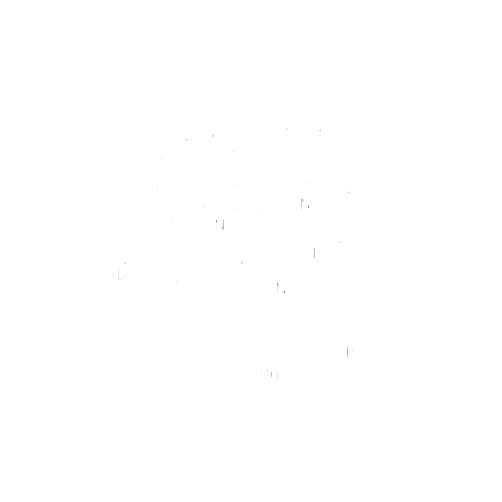 CC(C)(C)c1cccc(N2c3cc(C(C)(C)C)ccc3B3c4ccccc4N(c4ccccc4)c4cc(N5c6ccc(C(C)(C)C)cc6C6(C)CCCCCCC56C)cc2c43)c1